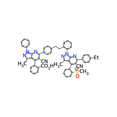 CCc1ccc(-c2nc3c(c(C)nn3-c3ccccc3CCc3ccc(-c4nc5c(c(C)nn5-c5ccccc5)c(-c5ccccc5C(=O)O)c4C#N)cc3)c(-c3ccccc3S(C)(=O)=O)c2C#N)cc1